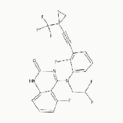 O=c1nc(N(CC(F)F)c2cccc(C#CC3(C(F)(F)F)CC3)c2F)c2c(F)cccc2[nH]1